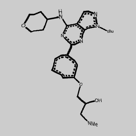 CNCC(O)COc1cccc(-c2nc(NC3CCOCC3)c3cnn(C(C)(C)C)c3n2)c1